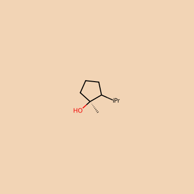 CC(C)C1CCC[C@]1(C)O